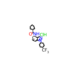 Cl.O=C(Nc1cccc2c1cnn2-c1ccc(C(F)(F)F)cc1)c1ccccc1